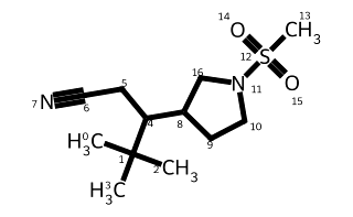 CC(C)(C)C(CC#N)C1CCN(S(C)(=O)=O)C1